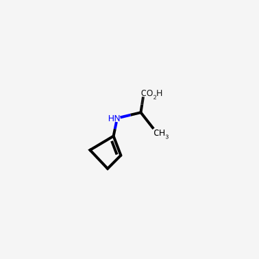 CC(NC1=CCC1)C(=O)O